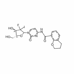 O=C(Nc1ccn(C2O[C@H](CO)[C@@H](O)C2(F)I)c(=O)n1)c1cccc2c1OCCC2